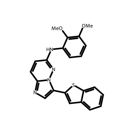 COc1cccc(Nc2ccc3ncc(-c4cc5ccccc5s4)n3n2)c1OC